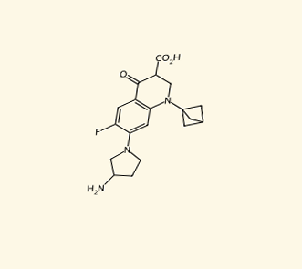 NC1CCN(c2cc3c(cc2F)C(=O)C(C(=O)O)CN3C23CC(C2)C3)C1